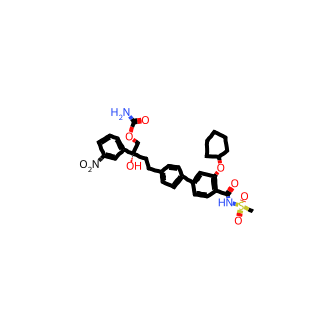 CS(=O)(=O)NC(=O)c1ccc(-c2ccc(CC[C@](O)(COC(N)=O)c3cccc([N+](=O)[O-])c3)cc2)cc1OC1CCCCC1